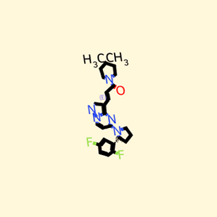 CC1(C)CCN(C(=O)/C=C/c2cnn3ccc(N4CCC[C@@H]4c4cc(F)ccc4F)nc23)CC1